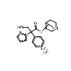 Cl.Cl.O=C(OC1CN2CCC1CC2)C(CO)(c1ccccc1)n1cccn1